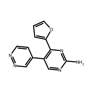 Nc1ncc(-c2ccnnc2)c(-c2ccco2)n1